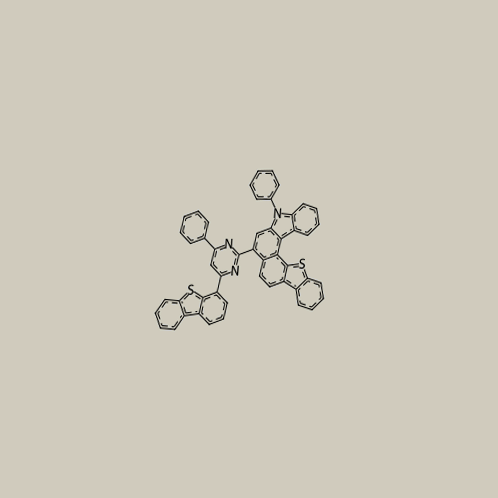 c1ccc(-c2cc(-c3cccc4c3sc3ccccc34)nc(-c3cc4c(c5ccccc5n4-c4ccccc4)c4c3ccc3c5ccccc5sc34)n2)cc1